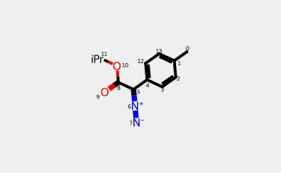 Cc1ccc(C(=[N+]=[N-])C(=O)OC(C)C)cc1